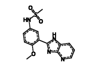 COc1ccc(NS(C)(=O)=O)cc1-c1nc2ncccc2[nH]1